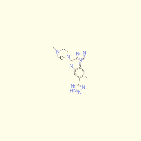 Cc1cc2c(cc1-c1nn[nH]n1)nc(N1CCN(C)CC1)c1nncn12